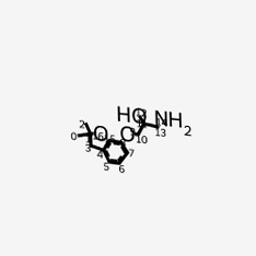 CC1(C)Cc2cccc(OCC(O)CN)c2O1